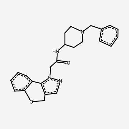 O=C(Cn1ncc2c1-c1ccccc1OC2)NC1CCN(Cc2ccccc2)CC1